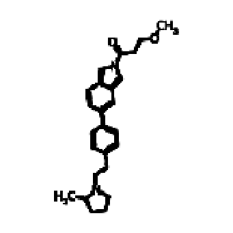 COCCC(=O)n1cc2ccc(-c3ccc(CCN4CCCC4C)cc3)cc2c1